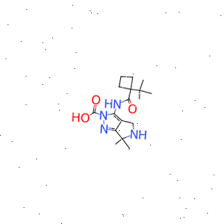 CC1(C)NCc2c1nn(C(=O)O)c2NC(=O)C1(C(C)(C)C)CCC1